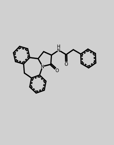 O=C(Cc1ccccc1)NC1CC2c3ccccc3Cc3ccccc3N2C1=O